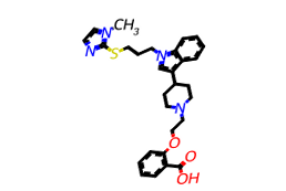 Cn1ccnc1SCCCn1cc(C2CCN(CCOc3ccccc3C(=O)O)CC2)c2ccccc21